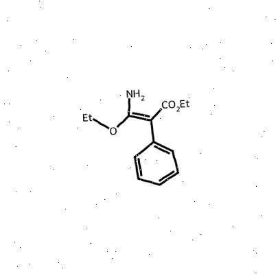 CCOC(=O)/C(=C(\N)OCC)c1ccccc1